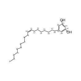 CCCCCCCCCC/C=C\CCCCCCCc1cc(O)cc(O)c1